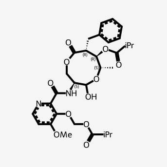 COc1ccnc(C(=O)N[C@H]2COC(=O)[C@H](Cc3ccccc3)[C@@H](OC(=O)C(C)C)[C@H](C)OC2O)c1OCOC(=O)C(C)C